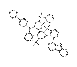 CC1(C)c2ccccc2-c2ccc(N(c3ccc(-c4ccccc4)cc3)c3cccc4c3-c3cc5c(cc3C4(C)C)-c3c(-c4cccc6c4oc4ccccc46)cccc3C5(C)C)cc21